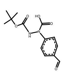 CC(C)(C)OC(=O)NN(C(=O)O)c1ccc(C=O)cc1